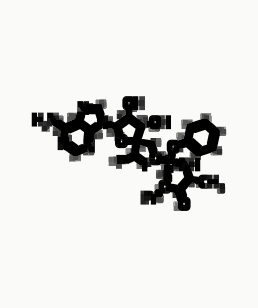 CC(C)OC(=O)[C@H](C)NP(=S)(OC[C@@]1(C(F)F)O[C@@H](n2cnc3c(N)ncnc32)[C@@H](O)[C@@H]1O)Oc1ccccc1